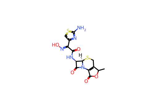 CC1OC(=O)C2=C1CS[C@@H]1[C@H](NC(=O)C(=NO)c3csc(N)n3)C(=O)N21